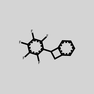 Fc1c(F)c(F)c(C2Cc3ccccc32)c(F)c1F